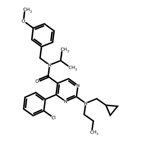 CCCN(CC1CC1)c1ncc(C(=O)N(Cc2cccc(OC)c2)C(C)C)c(-c2ccccc2Cl)n1